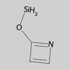 [SiH3]OC1=NC=C1